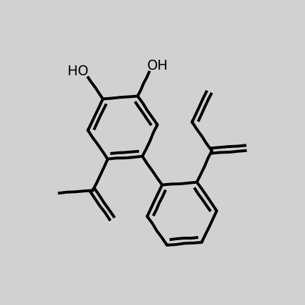 C=CC(=C)c1ccccc1-c1cc(O)c(O)cc1C(=C)C